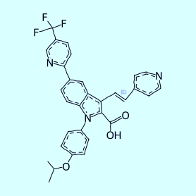 CC(C)Oc1ccc(-n2c(C(=O)O)c(/C=C/c3ccncc3)c3cc(-c4ccc(C(F)(F)F)cn4)ccc32)cc1